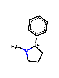 CN1CCC[C@H]1c1ccccc1